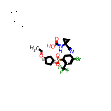 CCO[C@H]1CC[C@@H](S(=O)(=O)c2ccc(Br)cc2C(F)(F)F)C1.N#CC1(NC(=O)O)CC1